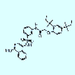 CCC(C)(C)c1ccc(OCC(=O)Nc2cccc(S(=O)(=O)Nc3ccc(O)c4ccccc34)c2)c(C(C)(C)CC)c1